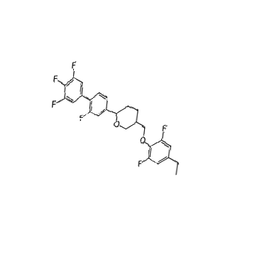 CCc1cc(F)c(OCC2CCC(c3ccc(-c4cc(F)c(F)c(F)c4)c(F)c3)OC2)c(F)c1